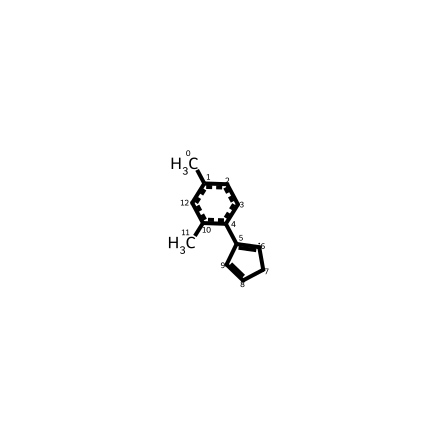 Cc1ccc(C2=[C]CC=C2)c(C)c1